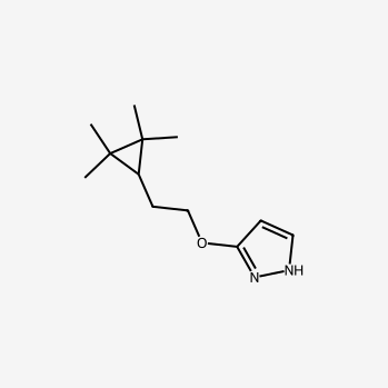 CC1(C)C(CCOc2cc[nH]n2)C1(C)C